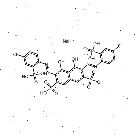 O=P(O)(O)c1cc(Cl)ccc1N=Nc1c(S(=O)(=O)O)cc2cc(S(=O)(=O)O)c(N=Nc3ccc(Cl)cc3P(=O)(O)O)c(O)c2c1O.[NaH]